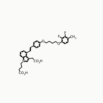 Cc1ccc(OCCCCOc2ccc(C=Cc3cccc4c3c(CC(=O)O)cn4CCCC(=O)O)cc2)c(F)c1F